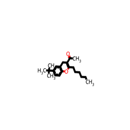 CCCCCCC1=C(C(C)=O)Cc2cc(C(C)(C)C)ccc2O1